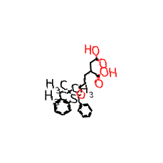 CC(C)(C)[Si](OCCCC(CC(=O)O)C(=O)O)(c1ccccc1)c1ccccc1